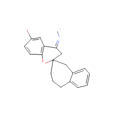 N#C/N=C1/CC2(CCCc3ccccc3C2)Oc2ccc(Br)cc21